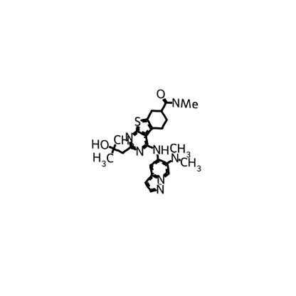 CNC(=O)C1CCc2c(sc3nc(CC(C)(C)O)nc(Nc4cc5ccnn5cc4N(C)C)c23)C1